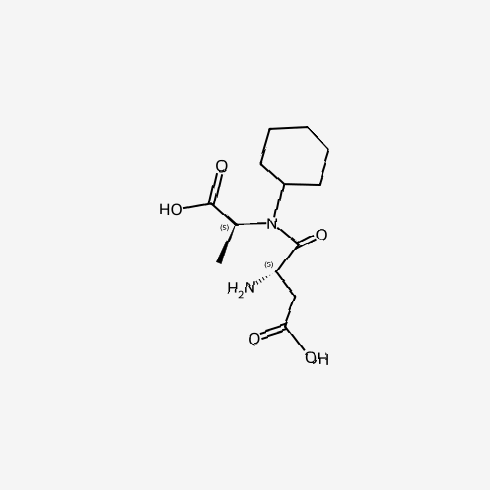 C[C@@H](C(=O)O)N(C(=O)[C@@H](N)CC(=O)O)C1CCCCC1